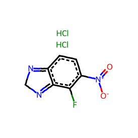 Cl.Cl.O=[N+]([O-])c1ccc2c(c1F)=NCN=2